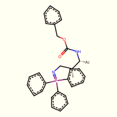 CC(=O)[C@@H](NC(=O)OCc1ccccc1)[C@H](C)CN=P(c1ccccc1)(c1ccccc1)c1ccccc1